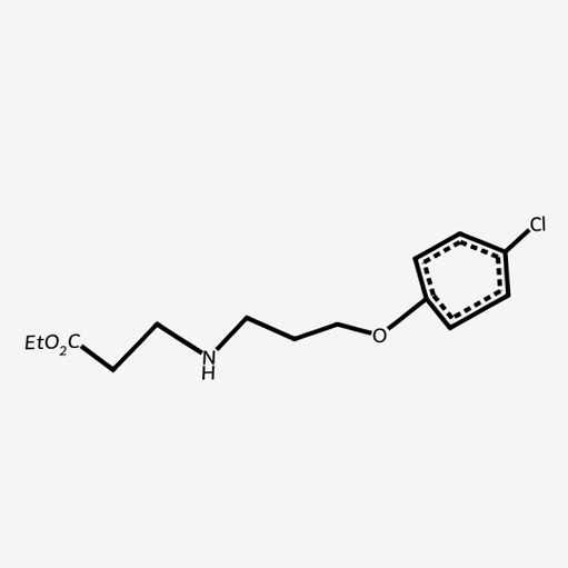 CCOC(=O)CCNCCCOc1ccc(Cl)cc1